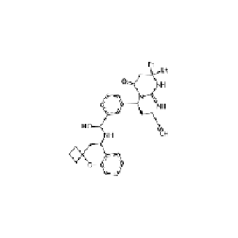 C#CCC[C@@H](c1cccc(C(O)N[C@@H]2CC3(CCC3)Oc3ccccc32)c1)N1C(=N)NC(CC)(CC)CC1=O